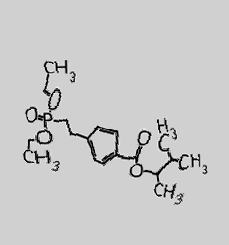 CCOP(=O)(CCc1ccc(C(=O)OC(C)C(C)C)cc1)OCC